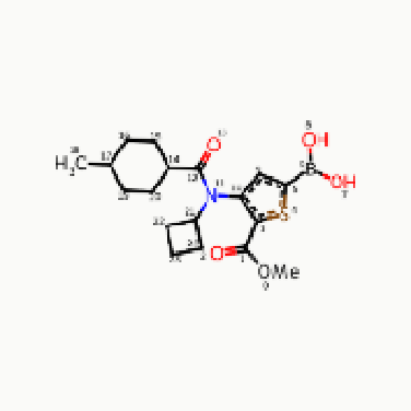 COC(=O)c1sc(B(O)O)cc1N(C(=O)C1CCC(C)CC1)C1CCC1